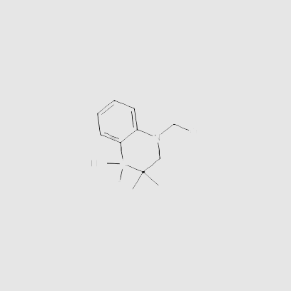 CC1(C)CN(C[O])c2ccccc2S1(O)O